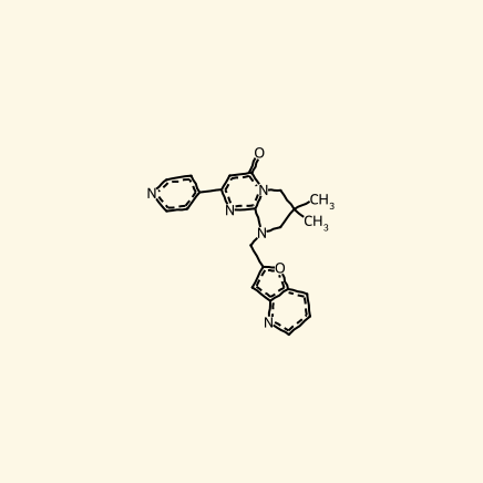 CC1(C)CN(Cc2cc3ncccc3o2)c2nc(-c3ccncc3)cc(=O)n2C1